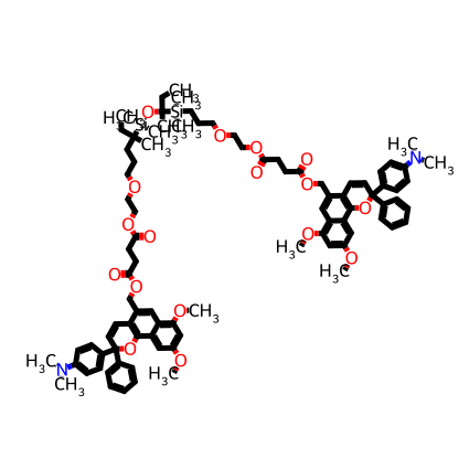 CCC(C)(O[Si](C)(C)C(C)(CC)CCCOCCOC(=O)CCC(=O)OCc1cc2c(OC)cc(OC)cc2c2c1C=CC(c1ccccc1)(c1ccc(N(C)C)cc1)O2)[Si](C)(C)CCCOCCOC(=O)CCC(=O)OCc1cc2c(OC)cc(OC)cc2c2c1C=CC(c1ccccc1)(c1ccc(N(C)C)cc1)O2